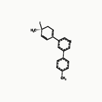 Cc1ccc(-c2cncc(C3=CC[C@](C)(I)C=C3)c2)cc1